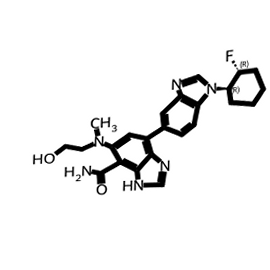 CN(CCO)c1cc(-c2ccc3c(c2)ncn3[C@@H]2CCCC[C@H]2F)c2nc[nH]c2c1C(N)=O